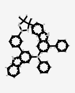 CC1(C)OB(c2cccc(-c3cc(N(c4ccccc4)c4cc(-c5ccccc5)c5oc6ccccc6c5c4)cc4c3sc3ccccc34)c2)OC1(C)C